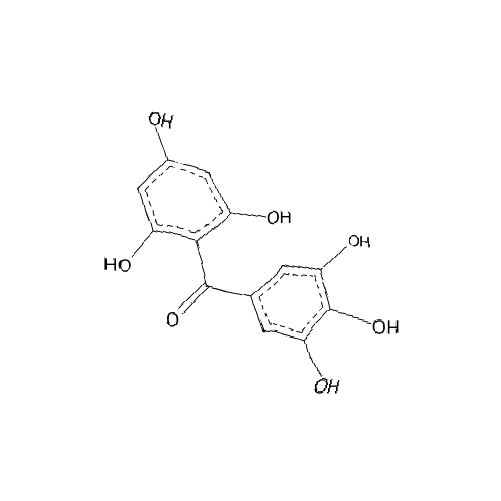 O=C(c1cc(O)c(O)c(O)c1)c1c(O)cc(O)cc1O